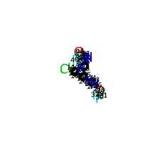 O=Cc1cnn(C2CCCN(c3cc(Cl)ccc3-c3ccc(N4CCN(CCOC(F)(F)F)CC4)cc3)C2)c1C(F)(F)F